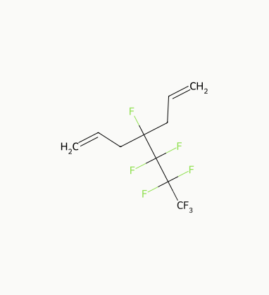 C=CCC(F)(CC=C)C(F)(F)C(F)(F)C(F)(F)F